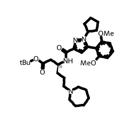 COc1cccc(OC)c1-c1cc(C(=O)N[C@@H](CCCN2CCCCCC2)CC(=O)OC(C)(C)C)nn1C1CCCC1